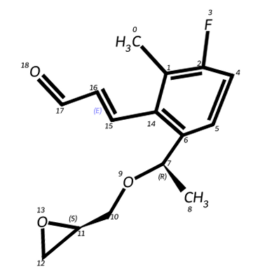 Cc1c(F)ccc([C@@H](C)OC[C@H]2CO2)c1/C=C/C=O